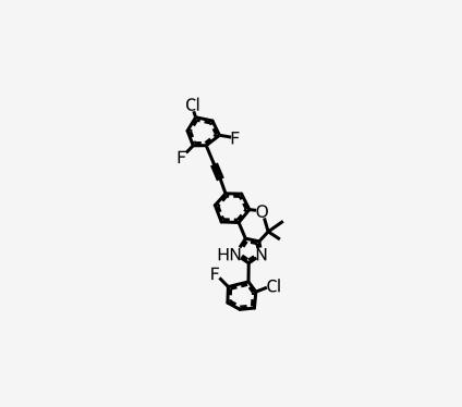 CC1(C)Oc2cc(C#Cc3c(F)cc(Cl)cc3F)ccc2-c2[nH]c(-c3c(F)cccc3Cl)nc21